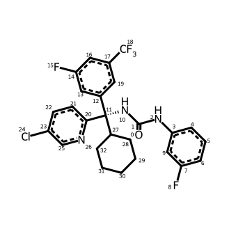 O=C(Nc1cccc(F)c1)N[C@@](c1cc(F)cc(C(F)(F)F)c1)(c1ccc(Cl)cn1)C1CCCCC1